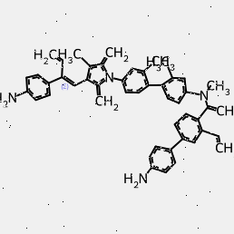 C=C/C(=C\c1c(C)c(=C)n(-c2ccc(-c3ccc(N(C)C(=C)c4ccc(-c5ccc(N)cc5)cc4C=C)cc3C)c(C)c2)c1=C)c1ccc(N)cc1